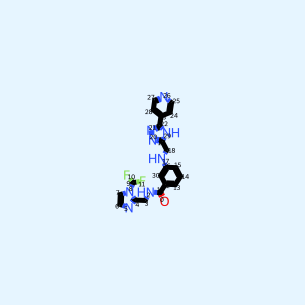 O=C(NCc1nccn1C(F)F)c1cccc(NCc2nnc(-c3ccncc3)[nH]2)c1